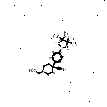 CCN1CCC(C#N)(c2ccc(B3OC(C)(C)C(C)(C)O3)cc2)CC1